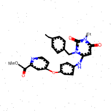 CCn1c(=O)cc(Nc2ccc(Oc3ccnc(C(=O)OC)c3)cc2)n(Cc2ccc(C)cc2)c1=O